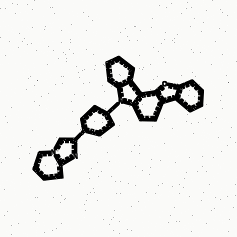 c1ccc2c(c1)oc1c2ccc2c1c1ccccc1n2-c1ccc(-c2cn3ccccc3n2)cc1